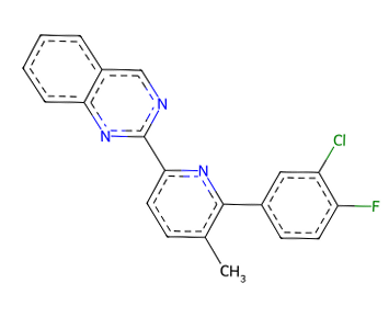 Cc1ccc(-c2ncc3ccccc3n2)nc1-c1ccc(F)c(Cl)c1